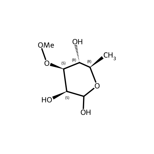 COO[C@H]1[C@H](O)[C@@H](C)OC(O)[C@H]1O